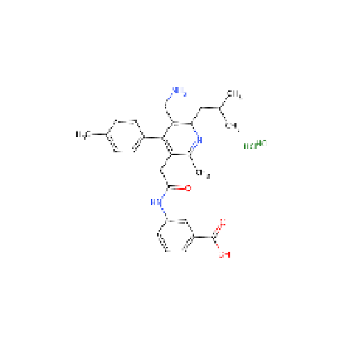 Cc1ccc(-c2c(CC(=O)Nc3cccc(C(=O)O)c3)c(C)nc(CC(C)C)c2CN)cc1.Cl.Cl